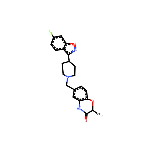 CC1Oc2ccc(CN3CCC(c4noc5cc(F)ccc45)CC3)cc2NC1=O